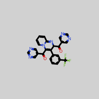 O=C(C1=C(c2cccc(C(F)(F)F)c2)C(C(=O)c2cncnc2)N=C2C=CC=CN21)c1cncnc1